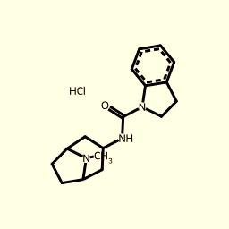 CN1C2CCC1CC(NC(=O)N1CCc3ccccc31)C2.Cl